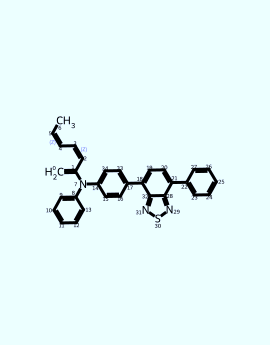 C=C(/C=C\C=C/C)N(c1ccccc1)c1ccc(-c2ccc(-c3ccccc3)c3nsnc23)cc1